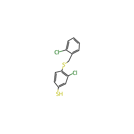 Sc1ccc(SCc2ccccc2Cl)c(Cl)c1